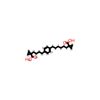 O=C(O)C1(CCCCCCc2ccc(CCCCC3(C(=O)O)CC3)cc2)CC1